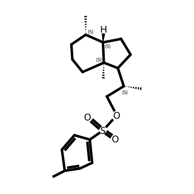 Cc1ccc(S(=O)(=O)OC[C@@H](C)C2CC[C@H]3[C@@H](C)CCC[C@]23C)cc1